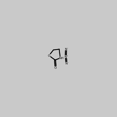 O=C1NCCO1.[N-]=[N+]=[N-]